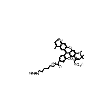 C=c1cc2c(cc1/C(C)=C\C(C)(C)C)=C(c1ccc(C(=O)NCCCCCCN=[N+]=[N-])cc1C(=O)O)c1cc3c(cc1O2)N(C)C(C)(C)C=C3CS(=O)(=O)O